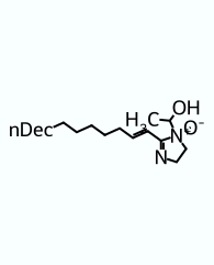 CCCCCCCCCCCCCCCC=CC1=NCC[N+]1([O-])C(C)O